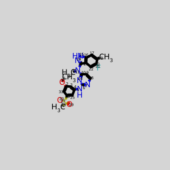 COc1cc(Nc2nccc(N(C)c3n[nH]c4cc(C)c(F)cc34)n2)cc(S(C)(=O)=O)c1